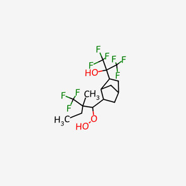 CCC(C)(C(OO)C1CC2CC1C(C(O)(C(F)(F)F)C(F)(F)F)C2)C(F)(F)F